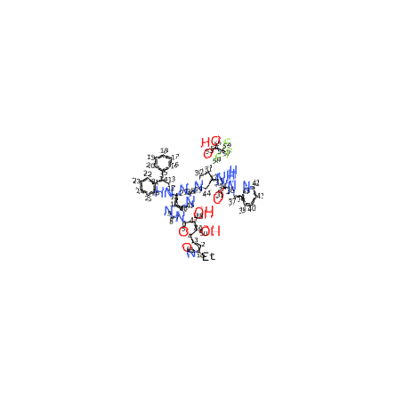 CCc1cc([C@H]2O[C@@H](n3cnc4c(NCC(c5ccccc5)c5ccccc5)nc(N5CC[C@@H](NC(=O)NCc6ccccn6)C5)nc43)[C@H](O)[C@@H]2O)on1.O=C(O)C(F)(F)F